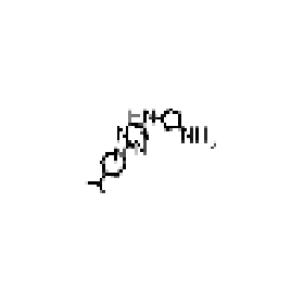 CC(C)C1CCN(c2ncc(NC3CCC(N)C3)cn2)CC1